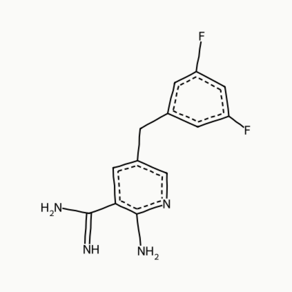 N=C(N)c1cc(Cc2cc(F)cc(F)c2)cnc1N